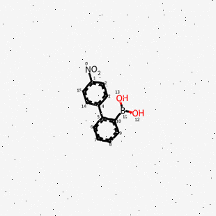 O=[N+]([O-])c1ccc(-c2ccccc2B(O)O)cc1